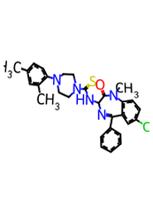 Cc1ccc(N2CCN(C(=S)NC3N=C(c4ccccc4)c4cc(Cl)ccc4N(C)C3=O)CC2)c(C)c1